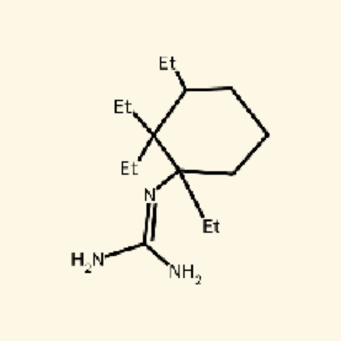 CCC1CCCC(CC)(N=C(N)N)C1(CC)CC